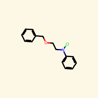 ClN(CCOCc1ccccc1)c1ccccc1